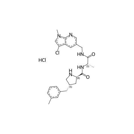 Cc1cccc(C[C@@H]2CN[C@@H](C(=O)N[C@@H](C)C(=O)NCc3cnc4c(c3)c(Cl)cn4C)C2)c1.Cl